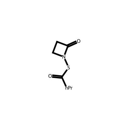 CCCC(=O)SN1CCC1=O